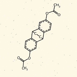 CC(=O)Oc1ccc2c(c1)C1CCC2c2cc(OC(C)=O)ccc21